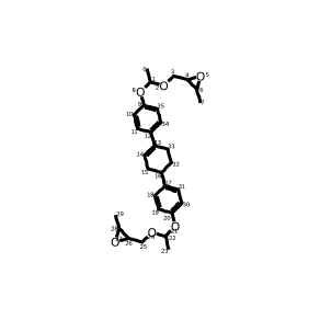 CC(OCC1OC1C)Oc1ccc(C2=CCC(c3ccc(OC(C)OCC4OC4C)cc3)CC2)cc1